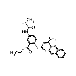 CCOC(=O)c1cc(NC(=O)NC)ccc1NC(=O)/C=C(/C)c1ccc2ccccc2c1